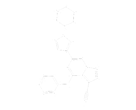 N#Cc1cnn2cc(-c3cnn([C@H]4CCCNC4)c3)cc(Sc3ccccn3)c12